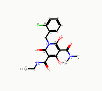 CCN(C)C(=O)c1c(O)c(C(=O)NCC(=O)O)c(=O)n(Cc2ccccc2Cl)c1O